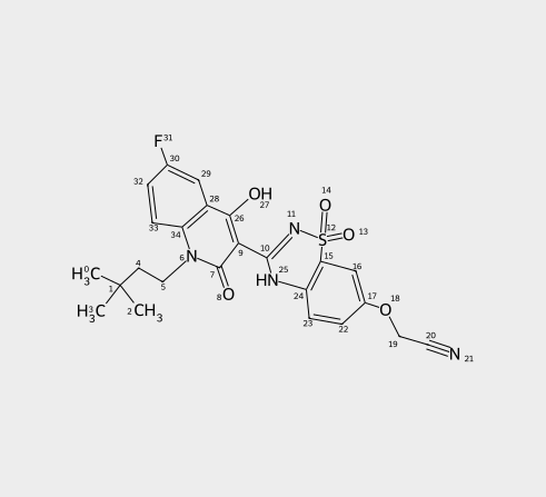 CC(C)(C)CCn1c(=O)c(C2=NS(=O)(=O)c3cc(OCC#N)ccc3N2)c(O)c2cc(F)ccc21